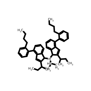 CCCCc1ccccc1-c1cccc2c1C=C(C(C)CC)[CH]2[Hf]([CH]1C(C(C)CC)=Cc2c(-c3ccccc3CCCC)cccc21)[SiH](C)C